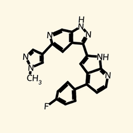 Cn1cc(-c2cc3c(-c4cc5c(-c6ccc(F)cc6)ccnc5[nH]4)n[nH]c3cn2)cn1